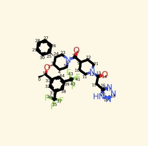 C[C@@H](O[C@H]1CCN(C(=O)C2CCN(C(=O)Cc3nnn[nH]3)CC2)C[C@H]1c1ccccc1)c1cc(C(F)(F)F)cc(C(F)(F)F)c1